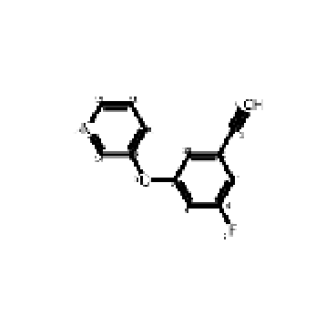 C#Cc1cc(F)cc(Oc2cccnc2)c1